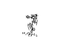 CC(C)COC(=O)NCCNc1nc(-c2nccs2)c2sccc2n1